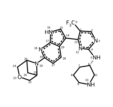 FC(F)(F)c1cnc(N[C@H]2CCCNC2)nc1-c1c[nH]c2nc(N3C4COCC3C4)ccc12